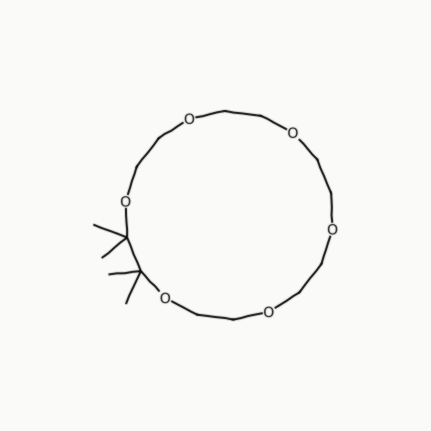 CC1(C)OCCOCCOCCOCCOCCOC1(C)C